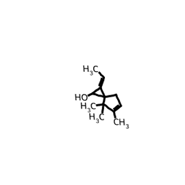 CC=C1C(O)C12CC=C(C)C2(C)C